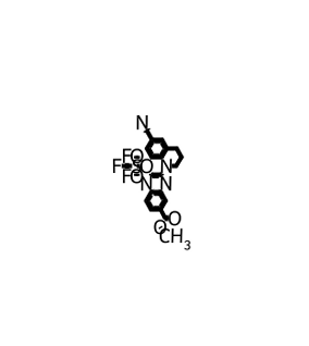 COC(=O)c1ccc2nc(OS(=O)(=O)C(F)(F)F)c(N3CCCc4cc(C#N)ccc43)nc2c1